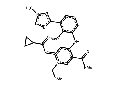 CNC(=O)c1cn(CSC)c(=NC(=O)C2CC2)cc1Nc1cccc(-c2nnn(C)n2)c1OC